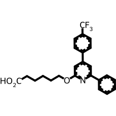 O=C(O)CCCCCOc1cc(-c2ccc(C(F)(F)F)cc2)cc(-c2ccccc2)n1